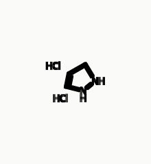 C1=CNNC1.Cl.Cl